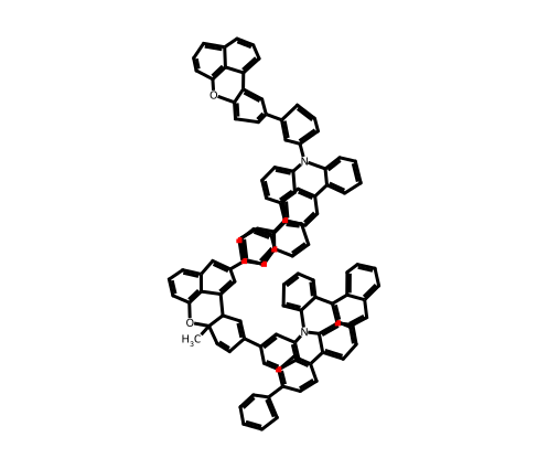 CC12C=CC(c3cccc(N(c4ccccc4-c4ccc(-c5ccccc5)cc4)c4ccccc4-c4cccc5ccccc45)c3)=CC1c1cc(-c3ccc(-c4ccc(-c5ccccc5N(c5cccc(-c6ccc7c(c6)-c6cccc8cccc(c68)O7)c5)c5cccc(-c6cccc7ccccc67)c5)cc4)cc3)cc3cccc(c13)O2